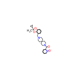 CC1(C2CC2)Oc2cccc(CN3CCC4(CC3)CCN(C(=O)c3cccc[n+]3[O-])CC4)c2O1